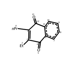 CCCC1=C(CC)C(=O)c2ccccc2C1=O